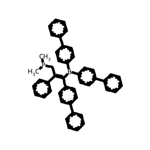 CP(C)C/C(=C(\B(c1ccc(-c2ccccc2)cc1)c1ccc(-c2ccccc2)cc1)c1ccc(-c2ccccc2)cc1)c1ccccc1